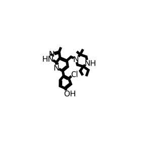 CCC1(CC)CN(Cc2cc(-c3ccc(O)cc3Cl)nc3[nH]nc(C)c23)C(C)(C)CN1